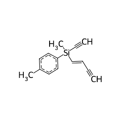 C#CC=C[Si](C)(C#C)c1ccc(C)cc1